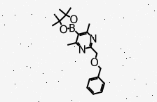 Cc1nc(COCc2ccccc2)nc(C)c1B1OC(C)(C)C(C)(C)O1